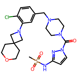 CS(=O)(=O)Nc1ccn(C(=O)N2CCN(Cc3ccc(Cl)c(N4CC5(CCOCC5)C4)c3)CC2)n1